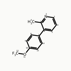 Cc1ncccc1-c1ccc(OC(F)(F)F)cc1